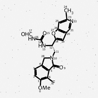 COc1ccc2c(c1F)C(=O)N(C[C@H](NC(=O)NC=O)c1cc3cnc(C)cc3o1)C2